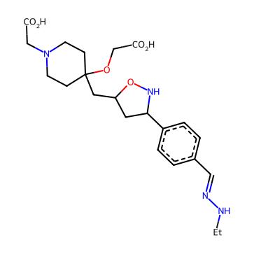 CCNN=Cc1ccc(C2CC(CC3(OCC(=O)O)CCN(CC(=O)O)CC3)ON2)cc1